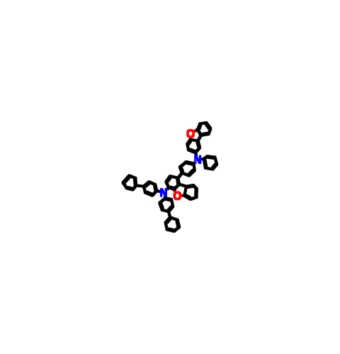 c1ccc(-c2ccc(N(c3ccc(-c4ccccc4)cc3)c3ccc(-c4ccc(N(c5ccccc5)c5ccc6oc7ccccc7c6c5)cc4)c4c3oc3ccccc34)cc2)cc1